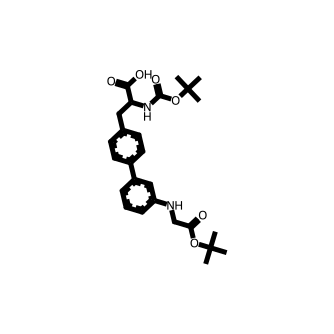 CC(C)(C)OC(=O)CNc1cccc(-c2ccc(CC(NC(=O)OC(C)(C)C)C(=O)O)cc2)c1